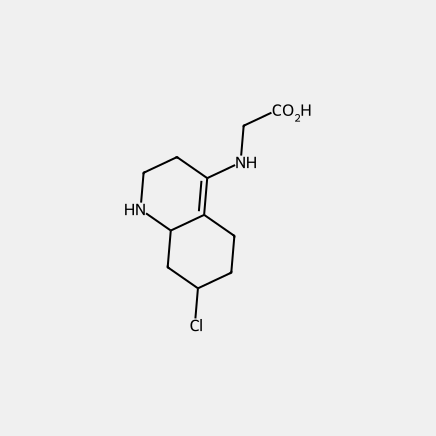 O=C(O)CNC1=C2CCC(Cl)CC2NCC1